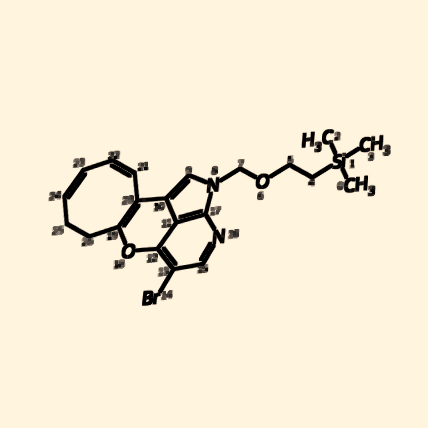 C[Si](C)(C)CCOCn1cc2c3c(c(Br)cnc31)OC1=C2C=CC=CCC1